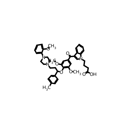 COc1ccccc1N1CCN(CCC(Oc2c(OC)cc(C(=O)c3cn(CCCC(=O)O)c4ccccc34)cc2OC)c2ccc(C)cc2)CC1